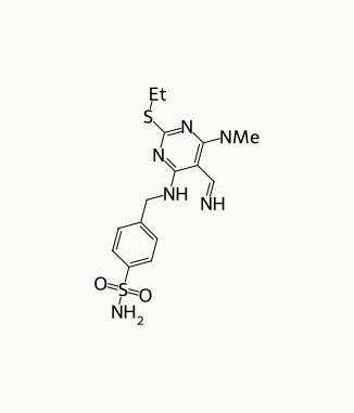 CCSc1nc(NC)c(C=N)c(NCc2ccc(S(N)(=O)=O)cc2)n1